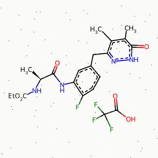 CCOC(=O)N[C@@H](C)C(=O)Nc1cc(Cc2n[nH]c(=O)c(C)c2C)ccc1F.O=C(O)C(F)(F)F